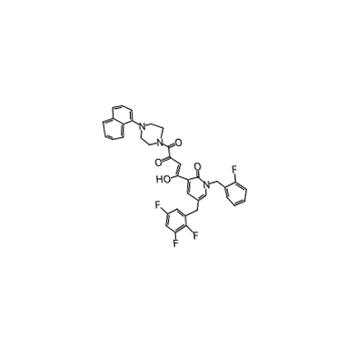 O=C(/C=C(\O)c1cc(Cc2cc(F)cc(F)c2F)cn(Cc2ccccc2F)c1=O)C(=O)N1CCN(c2cccc3ccccc23)CC1